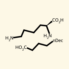 CCCCCCCCCCCCCC(=O)O.NCCCC[C@H](N)C(=O)O